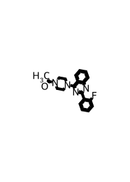 CC(=O)N1CCN(c2nc(-c3ccccc3F)nc3ccccc23)CC1